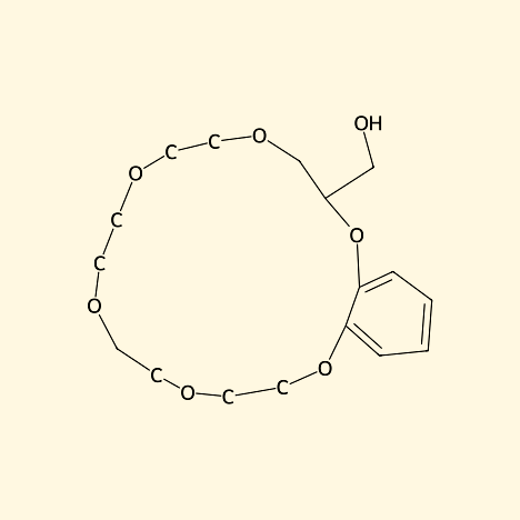 OCC1COCCOCCOCCOCCOc2ccccc2O1